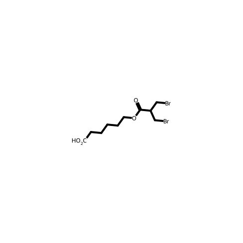 O=C(O)CCCCCOC(=O)C(CBr)CBr